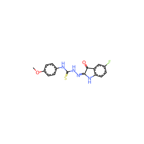 COc1ccc(NC(=S)NN=C2Nc3ccc(F)cc3C2=O)cc1